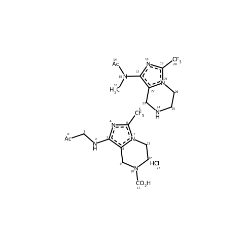 CC(=O)CNc1nc(C(F)(F)F)n2c1CN(C(=O)O)CC2.CC(=O)N(C)c1nc(C(F)(F)F)n2c1CNCC2.Cl